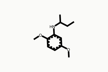 CCC(C)Nc1cc(OC)ccc1OC